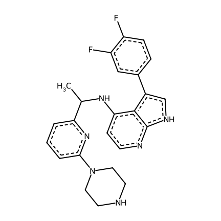 CC(Nc1ccnc2[nH]cc(-c3ccc(F)c(F)c3)c12)c1cccc(N2CCNCC2)n1